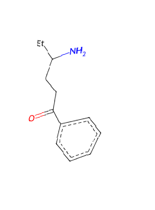 CCC(N)CCC(=O)c1ccccc1